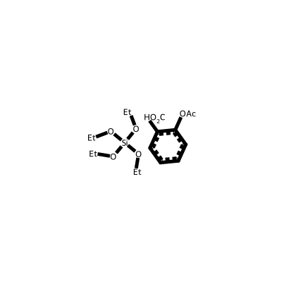 CC(=O)Oc1ccccc1C(=O)O.CCO[Si](OCC)(OCC)OCC